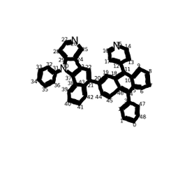 c1ccc(-c2c3ccccc3c(-c3ccncc3)c3cc(-c4cc5c6cnccc6n(-c6ccccc6)c5c5ccccc45)ccc23)cc1